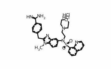 Cl.Cl.Cn1c(Cc2ccc(C(=N)N)cc2)nc2cc(N(CCN3CCOCC3)S(=O)(=O)c3cccc4cccnc34)ccc21